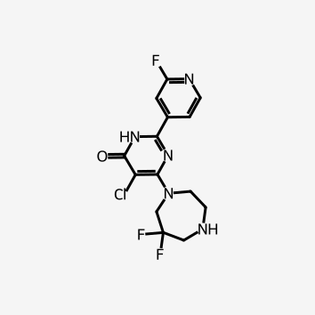 O=c1[nH]c(-c2ccnc(F)c2)nc(N2CCNCC(F)(F)C2)c1Cl